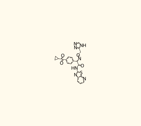 O=C(Nc1nc2cccnc2s1)/C(=N/OCc1nnc[nH]1)c1ccc(S(=O)(=O)C2CC2)cc1